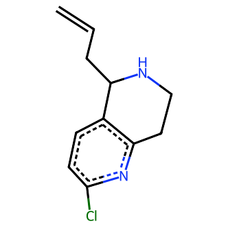 C=CCC1NCCc2nc(Cl)ccc21